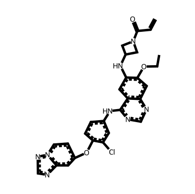 C=CC(=O)N1CC(Nc2cc3c(Nc4ccc(Oc5ccn6ncnc6c5)c(Cl)c4)ncnc3cc2OCC)C1